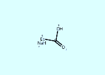 [CH2]CC(=O)O.[NaH]